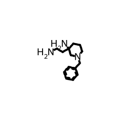 NCCC1(N)CCCN(Cc2ccccc2)C1